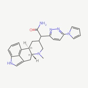 CN1CC(C(C(N)=O)c2ccc(-n3cccc3)nn2)C[C@@H]2c3cccc4[nH]cc(c34)C[C@H]21